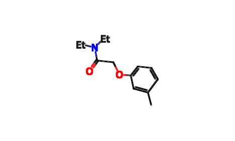 CCN(CC)C(=O)COc1cccc(C)c1